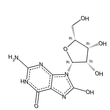 Nc1nc2c(nc(O)n2[C@@H]2O[C@H](CO)[C@H](O)[C@@H]2O)c(=O)[nH]1